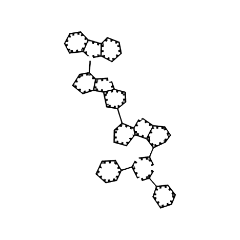 c1ccc(-c2nc(-c3ccccc3)nc(-c3cccc4sc5c(-c6ccc7sc8c(-n9c%10ccccc%10c%10ccccc%109)cccc8c7c6)cccc5c34)n2)cc1